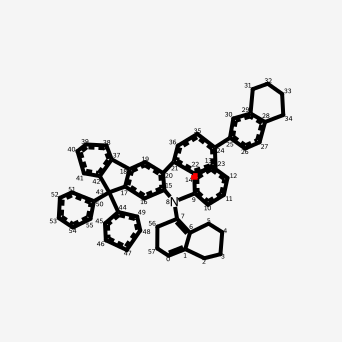 C1=C2CCCCC2=C(N(c2ccccc2)c2cc3c(cc2-c2ccc(-c4ccc5c(c4)CCCC5)cc2)-c2ccccc2C3(c2ccccc2)c2ccccc2)CC1